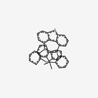 CC1(C)c2ccccc2N(c2cccc3sc4cccc(B5c6ccccc6Oc6ccccc65)c4c23)c2ccccc21